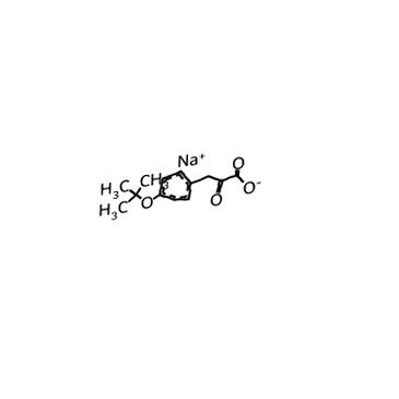 CC(C)(C)Oc1ccc(CC(=O)C(=O)[O-])cc1.[Na+]